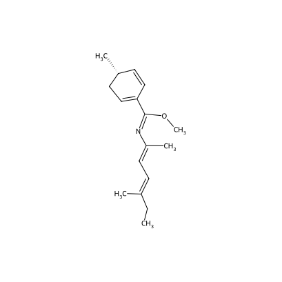 CC/C(C)=C/C=C(C)/N=C(\OC)C1=CC[C@H](C)C=C1